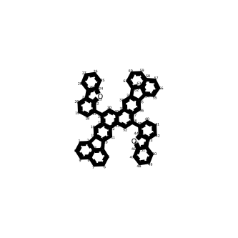 c1cc2c3c(cccc3c1)-c1cc3c(cc1-2)c(-c1cccc2c1oc1ccccc12)cc1c2cc4c(cc2c(-c2cccc5c2oc2ccccc25)cc31)-c1cccc2cccc-4c12